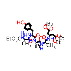 CCOC(=O)N[C@@H](C)C(=O)N[C@@H](Cc1ccc(O)cc1)C(=O)N[C@H](C(=O)N[C@@H](C)C(=O)N[C@@H](CC(=O)OC(C)(C)C)CC(OCC)OCC)C(C)C